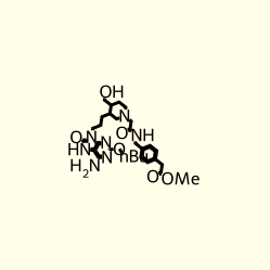 CCCCOc1nc(N)c2[nH]c(=O)n(CCCC3CN(CC(=O)NCc4ccc(CC(=O)OC)cc4)CCC3CO)c2n1